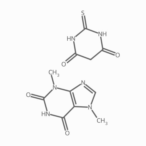 Cn1cnc2c1c(=O)[nH]c(=O)n2C.O=C1CC(=O)NC(=S)N1